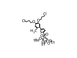 CCOP(=O)(CN(C(=O)OC(C)(C)C)S(=O)(=O)c1ccc(-c2cc(OCCCCl)c(OCCCCl)cc2C)s1)OCC